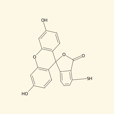 O=C1OC2(c3ccc(O)cc3Oc3cc(O)ccc32)c2cccc(S)c21